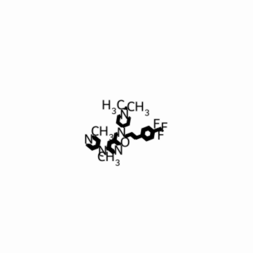 Cc1cc(N(C)c2cncc(CN(C(=O)/C=C/c3ccc(C(F)(F)F)cc3)C3CCN(C(C)C)CC3)c2)ccn1